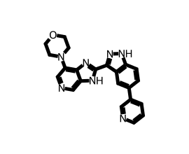 c1cncc(-c2ccc3[nH]nc(-c4nc5c(N6CCOCC6)cncc5[nH]4)c3c2)c1